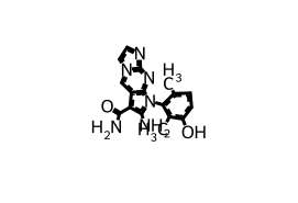 Cc1ccc(O)c(C)c1-n1c(N)c(C(N)=O)c2cn3ccnc3nc21